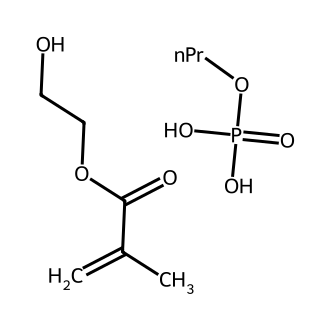 C=C(C)C(=O)OCCO.CCCOP(=O)(O)O